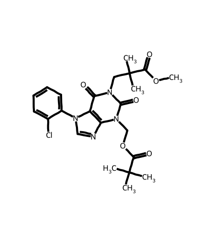 COC(=O)C(C)(C)Cn1c(=O)c2c(ncn2-c2ccccc2Cl)n(COC(=O)C(C)(C)C)c1=O